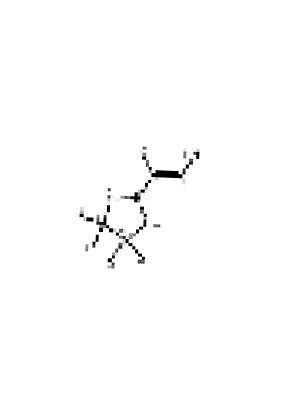 CN/C=C(\C)B1OC(C)(C)C(C)(C)O1